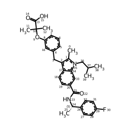 Cc1c(Cc2cccc(OC(C)(C)C(=O)O)c2)c2ccc(C(=O)N[C@@H](C)c3ccc(F)cc3)cc2n1CC(C)C